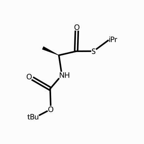 CC(C)SC(=O)[C@H](C)NC(=O)OC(C)(C)C